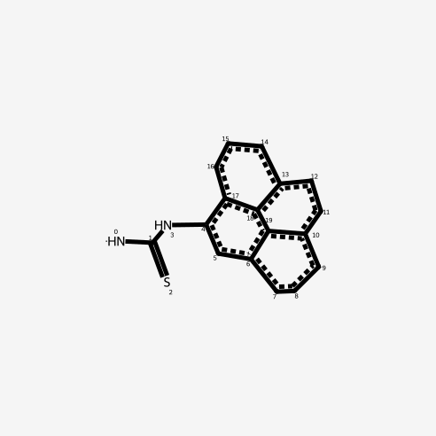 [NH]C(=S)Nc1cc2cccc3ccc4cccc1c4c32